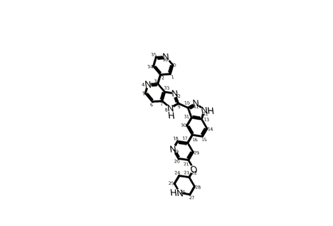 c1cc(-c2nccc3[nH]c(-c4n[nH]c5ccc(-c6cncc(OC7CCNCC7)c6)cc45)nc23)ccn1